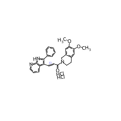 COc1cc2c(cc1OC)CN(C(=O)/C=C/c1c(-c3ccccc3)[nH]c3ncccc13)CC2.Cl.Cl